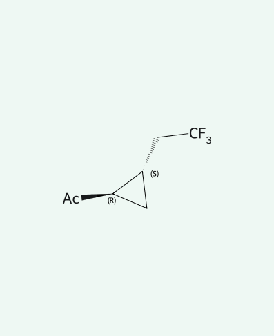 CC(=O)[C@@H]1C[C@H]1CC(F)(F)F